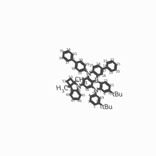 CC(C)(C)c1cccc(N2c3cc(C(C)(C)C)ccc3B3c4cc(-c5ccccc5)ccc4N(c4ccc(-c5ccccc5)cc4)c4cc(N5c6ccccc6C6(C)CCC56C)cc2c43)c1